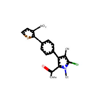 CCn1c(Br)c(C#N)c(-c2ccc(-c3sccc3[N+](=O)[O-])cc2)c1C(=O)OC